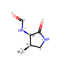 C[C@@H]1CNC(=O)[C@@H]1NC=O